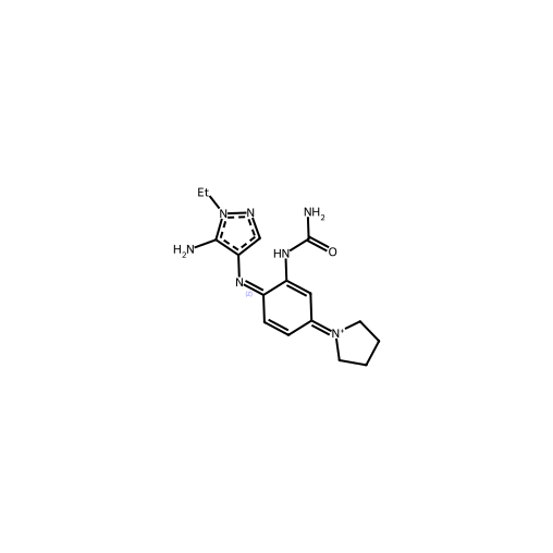 CCn1ncc(/N=C2/C=CC(=[N+]3CCCC3)C=C2NC(N)=O)c1N